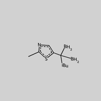 BC(B)(c1cnc(C)s1)C(C)CC